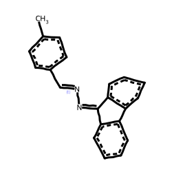 Cc1ccc(/C=N/N=C2c3ccccc3-c3ccccc32)cc1